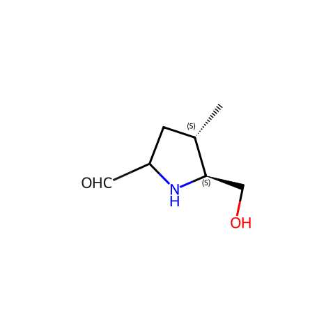 C[C@H]1CC(C=O)N[C@@H]1CO